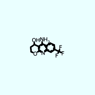 Nc1c2c(nc3cc(C(F)(F)F)ccc13)OCCC2O